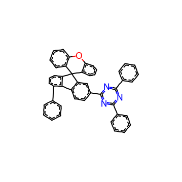 c1ccc(-c2nc(-c3ccccc3)nc(-c3ccc4c(c3)C3(c5ccccc5Oc5ccccc53)c3cccc(-c5ccccc5)c3-4)n2)cc1